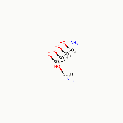 N.N.O=S(=O)(O)O.O=S(=O)(O)O.O=S(=O)(O)O.O=S(=O)(O)O.O=S(=O)(O)O